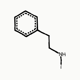 INCCc1ccccc1